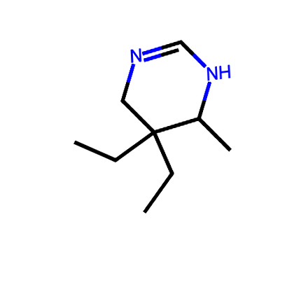 CCC1(CC)CN=CNC1C